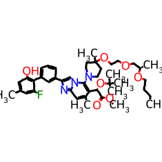 CCCCO[C@H](C)COCCOC1(C)CCN(c2c([C@H](OC(C)(C)C)C(=O)OC)c(C)cc3nc(-c4cccc(-c5c(O)cc(C)cc5F)c4)cn23)CC1